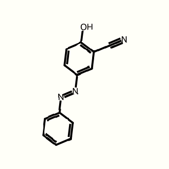 N#Cc1cc(N=Nc2ccccc2)ccc1O